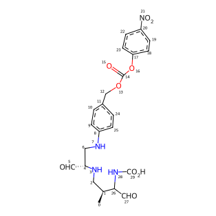 C[C@@H](CN[C@H](C=O)CNc1ccc(COC(=O)Oc2ccc([N+](=O)[O-])cc2)cc1)C(C=O)NC(=O)O